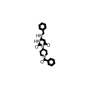 O=C(c1ccccc1)N1CCC(n2c(=O)cc(NCc3ccccc3)[nH]c2=O)CC1